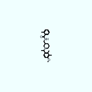 COc1ccc(C(C)N2CCCC(CNC(=O)c3ccccc3C)C2)c(C)c1C